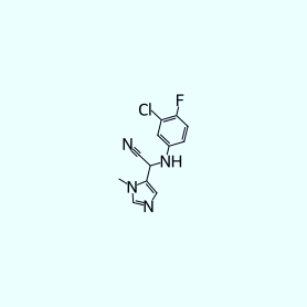 Cn1cncc1C(C#N)Nc1ccc(F)c(Cl)c1